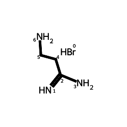 Br.N=C(N)CCN